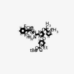 CC[C@@H]1C[C@@H](Oc2cc(O[C@@H](C)[C@@H]3CCCN3C)nc(/C(N)=N/OC(=O)C(C)(C)c3c(F)cccc3F)n2)CCN1C(=O)OC(C)(C)C